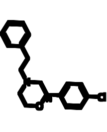 Clc1ccc([C@@H]2CN(CCc3ccccc3)CCO2)cc1